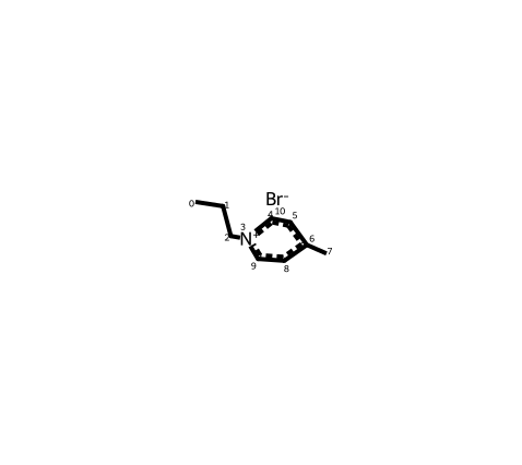 CCC[n+]1ccc(C)cc1.[Br-]